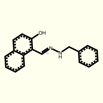 Oc1ccc2ccccc2c1/C=N/NCc1ccccc1